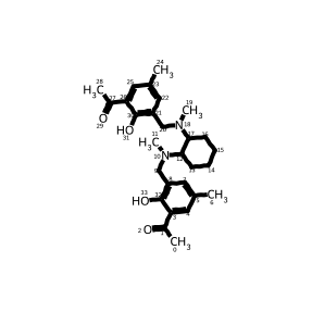 CC(=O)c1cc(C)cc(CN(C)C2CCCCC2N(C)Cc2cc(C)cc(C(C)=O)c2O)c1O